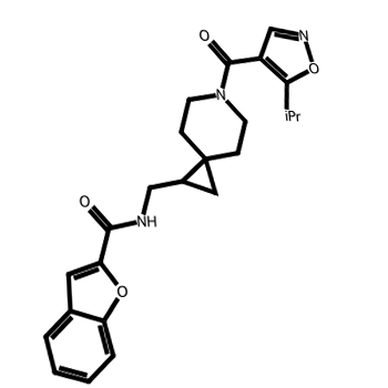 CC(C)c1oncc1C(=O)N1CCC2(CC1)CC2CNC(=O)c1cc2ccccc2o1